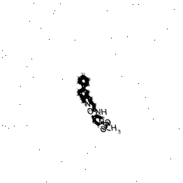 CS(=O)(=O)N1CCC[C@H](NC(=O)Cc2cc3cc(-c4ccccc4)ccc3cn2)C1